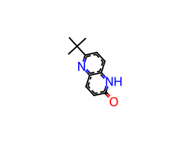 CC(C)(C)c1ccc2[nH]c(=O)ccc2n1